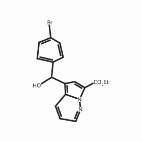 CCOC(=O)c1cc(C(O)c2ccc(Br)cc2)c2cccnn12